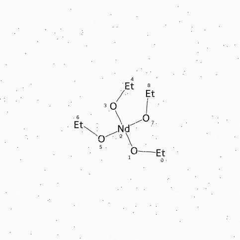 CC[O][Nd]([O]CC)([O]CC)[O]CC